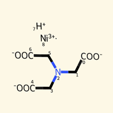 O=C([O-])CN(CC(=O)[O-])CC(=O)[O-].[H+].[Ni+3]